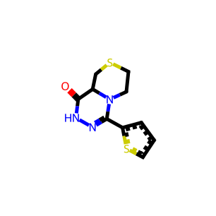 O=C1NN=C(c2cccs2)N2CCSCC12